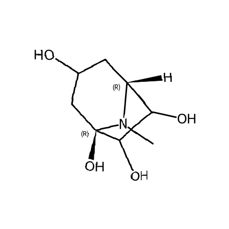 CN1[C@@H]2CC(O)C[C@@]1(O)C(O)C2O